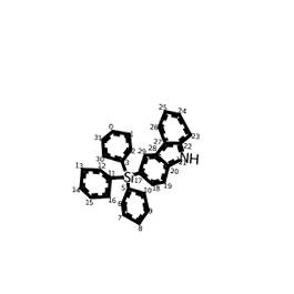 c1ccc([Si](c2ccccc2)(c2ccccc2)c2ccc3[nH]c4ccccc4c3c2)cc1